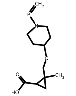 C=PN1CCC(OCC2(C)CC2C(=O)O)CC1